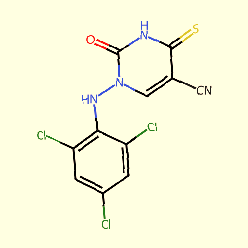 N#Cc1cn(Nc2c(Cl)cc(Cl)cc2Cl)c(=O)[nH]c1=S